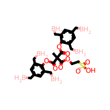 BCc1cc(CB)c(OC(=O)C(C)(C(=O)OCCS(=O)(=O)O)C(=O)Oc2c(CB)cc(CB)cc2CB)c(CB)c1